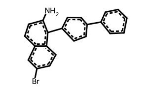 Nc1ccc2cc(Br)ccc2c1-c1ccc(-c2ccccc2)cc1